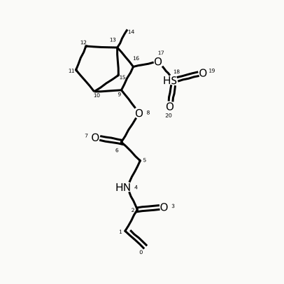 C=CC(=O)NCC(=O)OC1C2CCC(C)(C2)C1O[SH](=O)=O